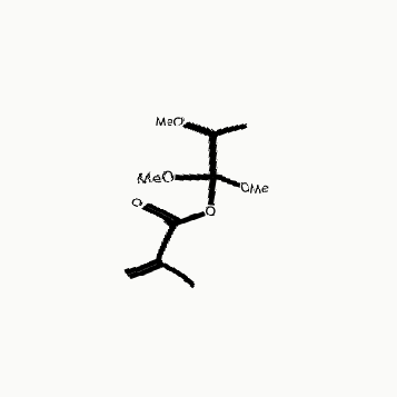 C=C(C)C(=O)OC(OC)(OC)C(C)OC